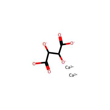 O=C([O-])C([O-])C([O-])C(=O)[O-].[Ca+2].[Ca+2]